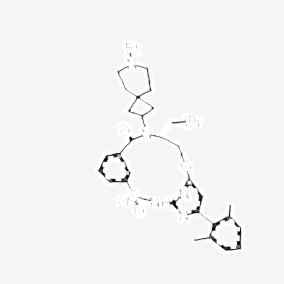 CCN1CCC2(CC1)CC(N1C(=O)c3cccc(c3)S(=O)(=O)Nc3nc(cc(-c4c(C)cccc4C)n3)OC[C@H]1CC(C)C)C2